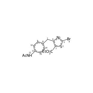 CCOC(=O)c1sc(Br)nc1Cc1ccc(NC(C)=O)cc1